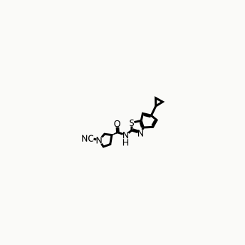 N#CN1CC[C@H](C(=O)Nc2nc3ccc(C4CC4)cc3s2)C1